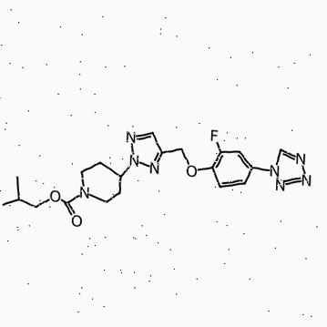 CC(C)COC(=O)N1CCC(n2ncc(COc3ccc(-n4cnnn4)cc3F)n2)CC1